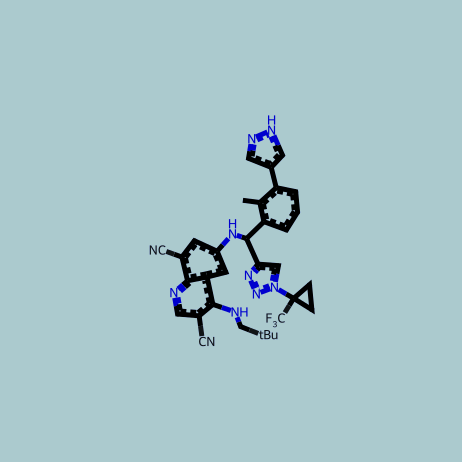 Cc1c(-c2cn[nH]c2)cccc1C(Nc1cc(C#N)c2ncc(C#N)c(NCC(C)(C)C)c2c1)c1cn(C2(C(F)(F)F)CC2)nn1